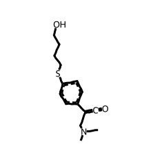 CN(C)CC(=C=O)c1ccc(SCCCCO)cc1